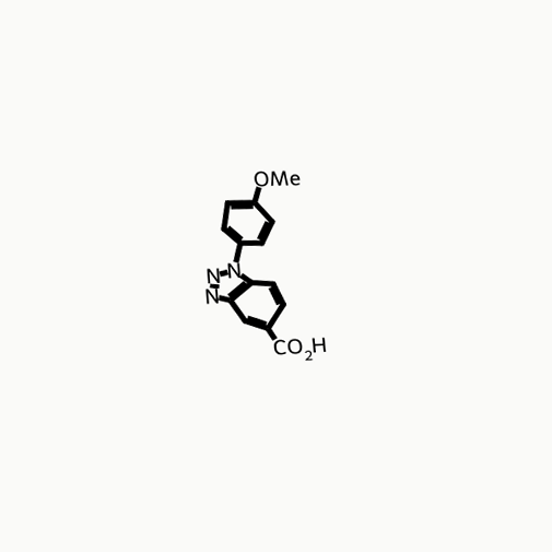 COc1ccc(-n2nnc3cc(C(=O)O)ccc32)cc1